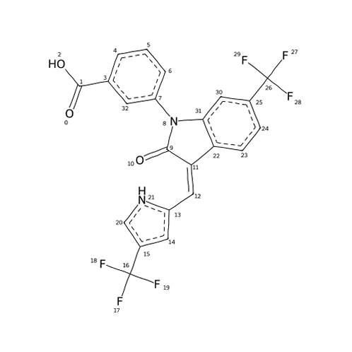 O=C(O)c1cccc(N2C(=O)C(=Cc3cc(C(F)(F)F)c[nH]3)c3ccc(C(F)(F)F)cc32)c1